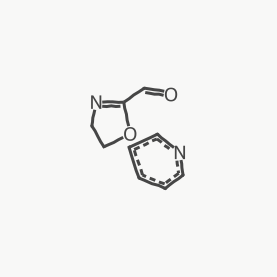 O=CC1=NCCO1.c1ccncc1